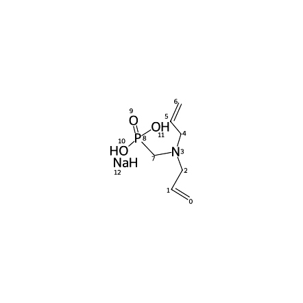 C=CCN(CC=C)CP(=O)(O)O.[NaH]